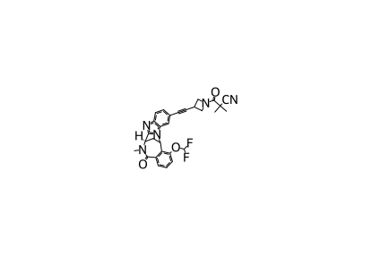 CN1C(=O)c2cccc(OC(F)F)c2C2C[C@@H]1c1nc3ccc(C#CC4CN(C(=O)C(C)(C)C#N)C4)cc3n12